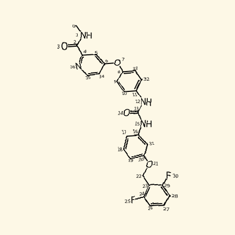 CNC(=O)c1cc(Oc2ccc(NC(=O)Nc3cccc(OCc4c(F)cccc4F)c3)cc2)ccn1